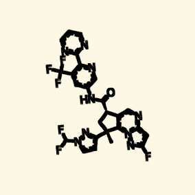 C[C@@]1(c2ccn(C(F)F)n2)C[C@@H](C(=O)Nc2cnc(-c3ncccn3)c(C(F)(F)F)c2)c2cnc3cc(F)nn3c21